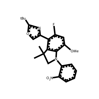 COc1cc(F)c(-c2coc(C(C)(C)C)n2)c2c1N(c1ccccc1[N+](=O)[O-])CC2(C)C